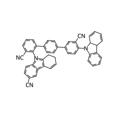 N#Cc1ccc2c(c1)c1c(n2-c2c(C#N)cccc2-c2ccc(-c3ccc(N4c5ccccc5C5C=CC=CC54)c(C#N)c3)cc2)CCC=C1